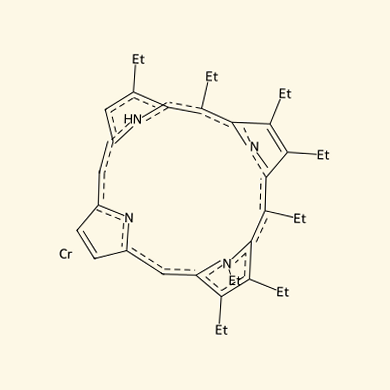 CCC1=C(CC)c2nc1c(CC)c1[nH]c(cc3nc(cc4c(CC)c(CC)c(c2CC)n4CC)C=C3)cc1CC.[Cr]